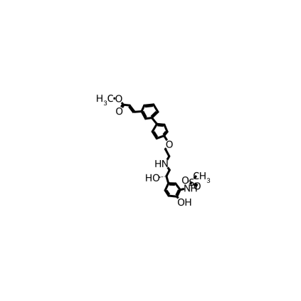 COC(=O)C=Cc1cccc(-c2ccc(OCCNC[C@@H](O)c3ccc(O)c(NS(C)(=O)=O)c3)cc2)c1